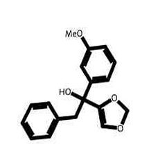 COc1cccc(C(O)(Cc2ccccc2)C2=COCO2)c1